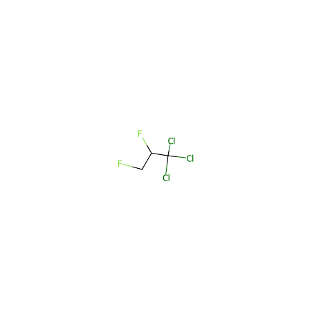 FCC(F)C(Cl)(Cl)Cl